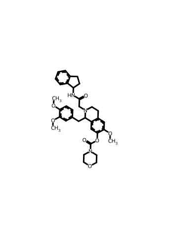 COc1ccc(CC2c3cc(OC(=O)N4CCOCC4)c(OC)cc3CCN2CC(=O)NC2CCc3ccccc32)cc1OC